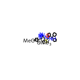 COc1ccc(Cn2nnnc2C2N3C(=O)C(NC(c4ccccc4)(c4ccccc4)c4ccccc4)C3SC2(C)C)c(OC)c1